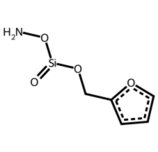 NO[Si](=O)OCc1ccco1